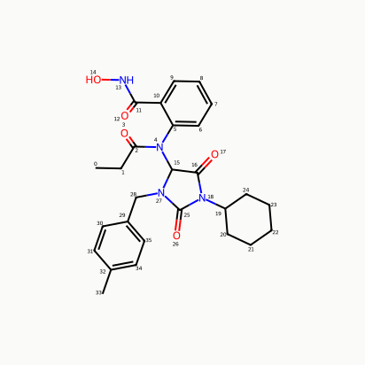 CCC(=O)N(c1ccccc1C(=O)NO)C1C(=O)N(C2CCCCC2)C(=O)N1Cc1ccc(C)cc1